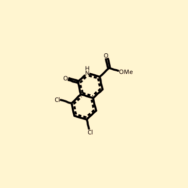 COC(=O)c1cc2cc(Cl)cc(Cl)c2c(=O)[nH]1